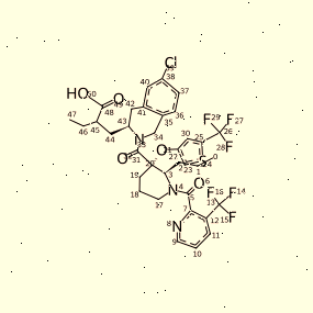 CCC[C@H]1N(C(=O)c2ncccc2C(F)(F)F)CCC[C@@]1(Oc1csc(C(F)(F)F)c1)C(=O)N1Cc2ccc(Cl)cc2C[C@@H]1CC(CC)C(=O)O